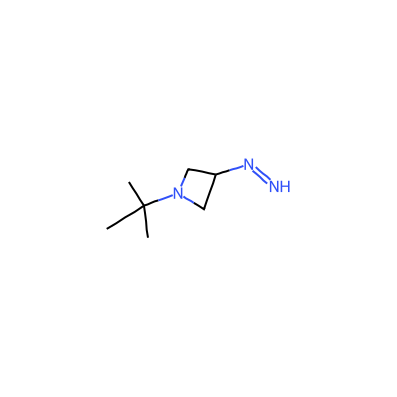 CC(C)(C)N1CC(N=N)C1